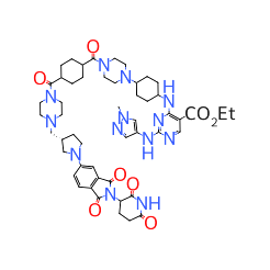 CCOC(=O)c1cnc(Nc2cnn(C)c2)nc1NC1CCC(N2CCN(C(=O)C3CCC(C(=O)N4CCN(C[C@@H]5CCN(c6ccc7c(c6)C(=O)N(C6CCC(=O)NC6=O)C7=O)C5)CC4)CC3)CC2)CC1